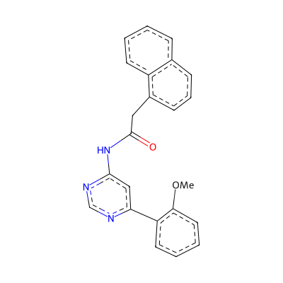 COc1ccccc1-c1cc(NC(=O)Cc2cccc3ccccc23)ncn1